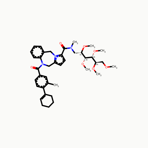 COC[C@@H](OC)[C@@H](OC)[C@H](OC)[C@H](CN(C)C(=O)c1ccc2n1Cc1ccccc1N(C(=O)c1ccc(C3=CCCCC3)c(C)c1)C2)OC